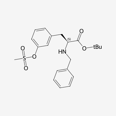 CC(C)(C)OC(=O)[C@H](Cc1cccc(OS(C)(=O)=O)c1)NCc1ccccc1